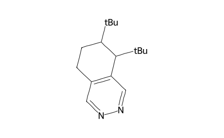 CC(C)(C)C1CCc2cnncc2C1C(C)(C)C